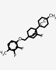 Cc1ccc(OCC23C=C(F)C(C45CCC(C)(CC4)CC5)(CC2)CC3)c(F)c1F